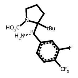 CC(C)(C)C1([C@@H](N)c2ccc(C(F)(F)F)c(F)c2)CCCN1C(=O)O